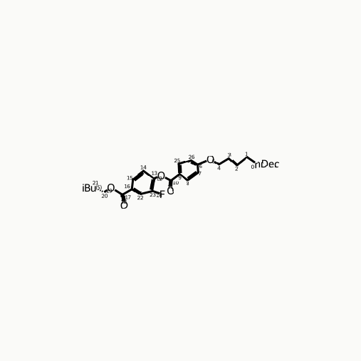 CCCCCCCCCCCCCCOc1ccc(C(=O)Oc2ccc(C(=O)OC[C@@H](C)CC)cc2F)cc1